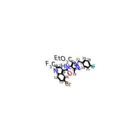 CCOC(=O)c1c(NC(=O)c2cc(C(F)(F)F)nc3ccc(Br)cc23)c(C)nn1Cc1ccc(F)cc1